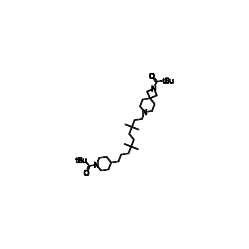 CC(C)(CCCC1CCN(C(=O)C(C)(C)C)CC1)CCC(C)(C)CCN1CCC2(CC1)CN(C(=O)C(C)(C)C)C2